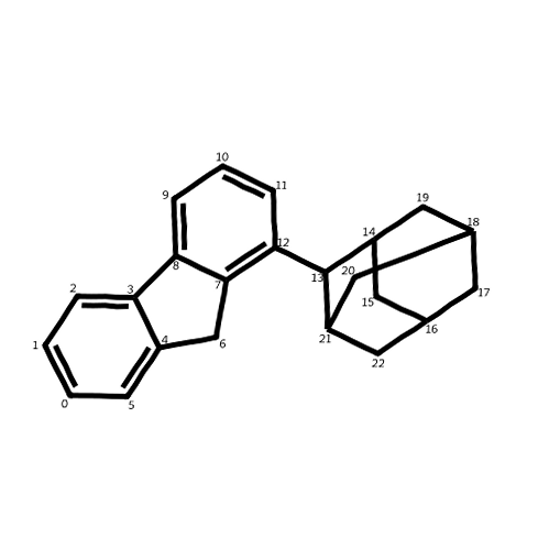 c1ccc2c(c1)Cc1c-2cccc1C1C2CC3CC(C2)CC1C3